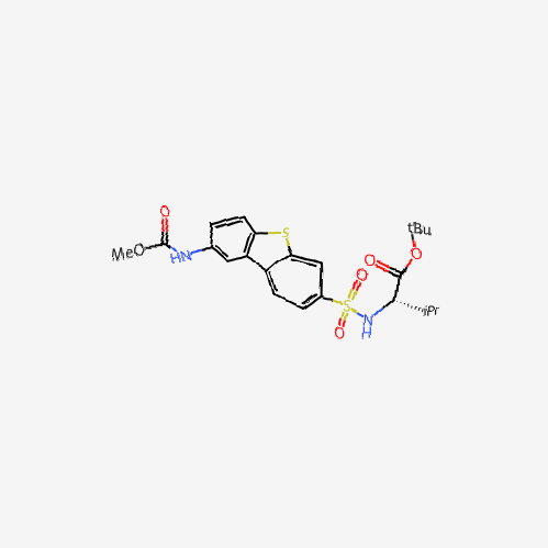 COC(=O)Nc1ccc2sc3cc(S(=O)(=O)N[C@H](C(=O)OC(C)(C)C)C(C)C)ccc3c2c1